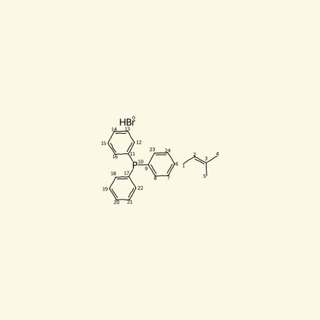 Br.CC=C(C)C.c1ccc(P(c2ccccc2)c2ccccc2)cc1